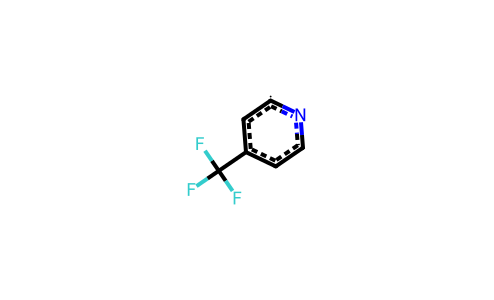 FC(F)(F)c1c[c]ncc1